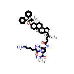 CNC(=O)[C@@H]1C[C@H](NC(=O)CC[C@@H](C)[C@H]2CCC3C4CCC5C[C@H](O[Si](c6ccccc6)(c6ccccc6)C(C)(C)C)CC[C@]5(C)C4CC[C@@]32C)CN1C(=O)C(N)CCCCN